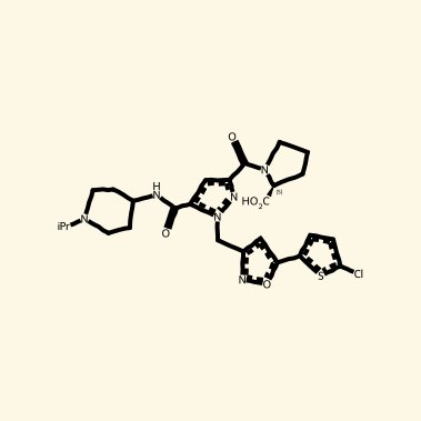 CC(C)N1CCC(NC(=O)c2cc(C(=O)N3CCC[C@H]3C(=O)O)nn2Cc2cc(-c3ccc(Cl)s3)on2)CC1